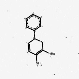 CC(C)(C)C1=C(N)C=CC(c2ccccc2)C1